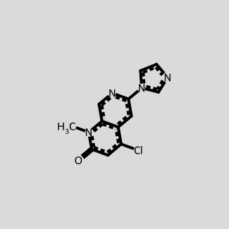 Cn1c(=O)cc(Cl)c2cc(-n3ccnc3)ncc21